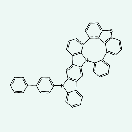 c1ccc(-c2ccc(-n3c4ccccc4c4cc5c(cc43)c3cccc4c6cccc7sc8cccc(c9ccccc9n5c43)c8c76)cc2)cc1